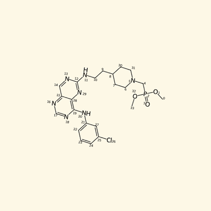 COP(=O)(CN1CCC(CCNc2ncc3ncnc(Nc4cccc(Cl)c4)c3n2)CC1)OC